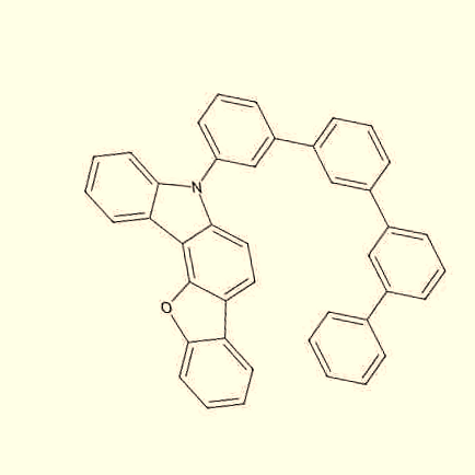 c1ccc(-c2cccc(-c3cccc(-c4cccc(-n5c6ccccc6c6c7oc8ccccc8c7ccc65)c4)c3)c2)cc1